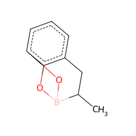 CC1Cc2cccc3c2OB1O3